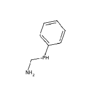 NCPc1ccccc1